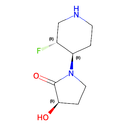 O=C1[C@H](O)CCN1[C@@H]1CCNC[C@H]1F